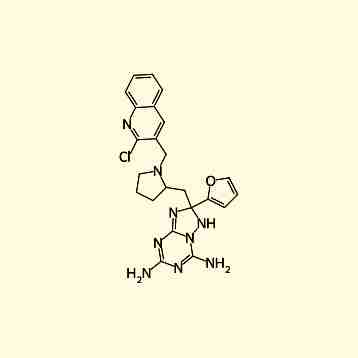 NC1=NC2=NC(CC3CCCN3Cc3cc4ccccc4nc3Cl)(c3ccco3)NN2C(N)=N1